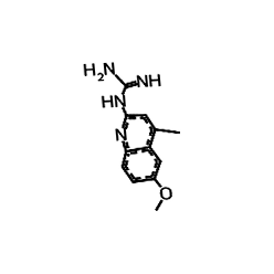 COc1ccc2nc(NC(=N)N)cc(C)c2c1